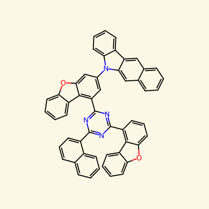 c1ccc2cc3c(cc2c1)c1ccccc1n3-c1cc(-c2nc(-c3cccc4ccccc34)nc(-c3cccc4oc5ccccc5c34)n2)c2c(c1)oc1ccccc12